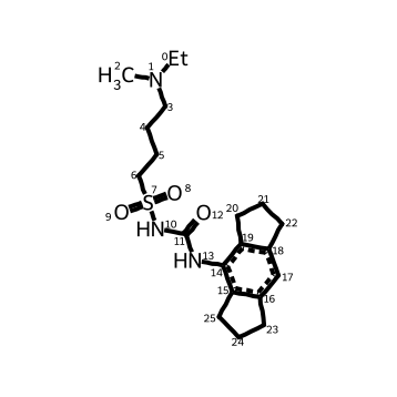 CCN(C)CCCCS(=O)(=O)NC(=O)Nc1c2c(cc3c1CCC3)CCC2